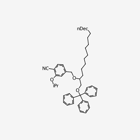 CCCCCCCCCCCCCCCCCCCC(COC(c1ccccc1)(c1ccccc1)c1ccccc1)OCc1ccc(C#N)c(OC(C)C)c1